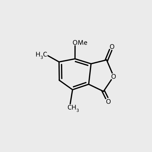 COc1c(C)cc(C)c2c1C(=O)OC2=O